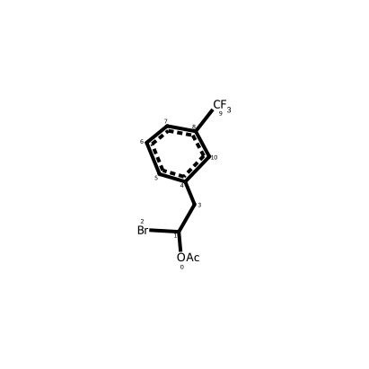 CC(=O)OC(Br)Cc1cccc(C(F)(F)F)c1